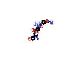 CCn1c(C)c(/C=C2\Oc3ccc(NC(=O)Nc4ccc(OCCN(C)C)cc4)cc3C2=O)c2cc(OC)ccc21